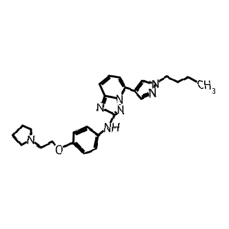 CCCCn1cc(-c2cccc3nc(Nc4ccc(OCCN5CCCC5)cc4)nn23)cn1